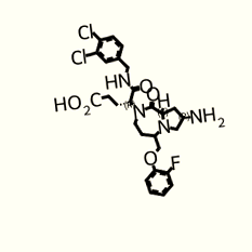 N[C@@H]1C[C@H]2C(=O)N([C@H](CCC(=O)O)C(=O)NCc3ccc(Cl)c(Cl)c3)CCC(COc3ccccc3F)N2C1